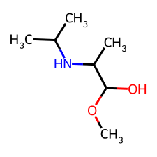 COC(O)C(C)NC(C)C